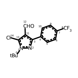 CC(C)(C)n1nc(-c2ccc(C(F)(F)F)cc2)c(C=O)c1Cl